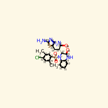 Cc1cc(S(=O)(=O)N2c3ccccc3NC(=O)[C@H]2C(Cc2cnc(N)s2)C(N)=O)c(C)cc1Cl